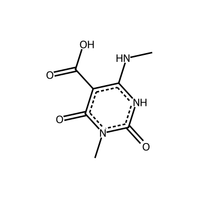 CNc1[nH]c(=O)n(C)c(=O)c1C(=O)O